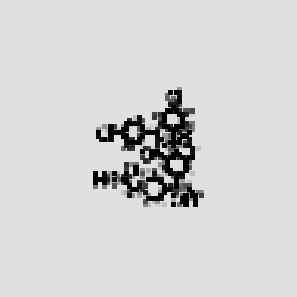 CC[C@](O)(c1cc(F)c2c(c1)C(=O)N(Cc1ccc(Cl)cc1)[C@@]2(OC)c1ccc(Cl)cc1)C1CCN(CC(=O)O)CC1